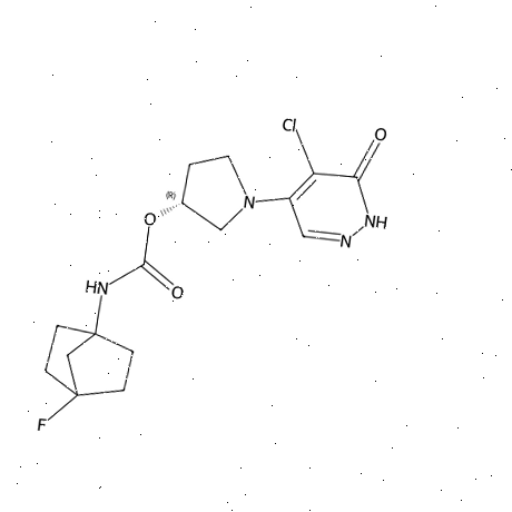 O=C(NC12CCC(F)(CC1)C2)O[C@@H]1CCN(c2cn[nH]c(=O)c2Cl)C1